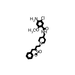 COc1cc(N)c(Cl)cc1C(=O)NCC1CCN(CCC(Cc2ccccc2)=S(=O)=O)CC1